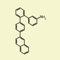 Nc1cccc(-c2ccccc2-c2ccc(-c3ccc4ccccc4c3)cc2)c1